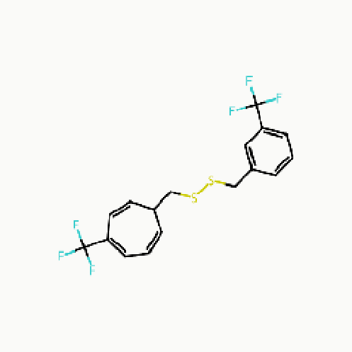 FC(F)(F)C1=CC=CC(CSSCc2cccc(C(F)(F)F)c2)C=C1